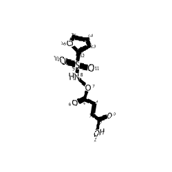 O=C(O)/C=C/C(=O)ONS(=O)(=O)c1ccco1